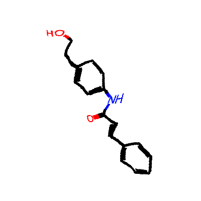 O=C(C=Cc1ccccc1)Nc1ccc(CCO)cc1